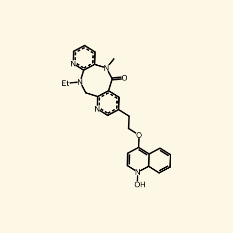 CCN1Cc2ncc(CCOC3=C4C=CC=CC4N(O)C=C3)cc2C(=O)N(C)c2cccnc21